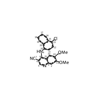 COc1cc2ncc(C#N)c(Nc3ccc(Cl)c4ccccc34)c2cc1OC